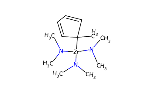 C[N](C)[Zr]([N](C)C)([N](C)C)[C]1(C)C=CC=C1